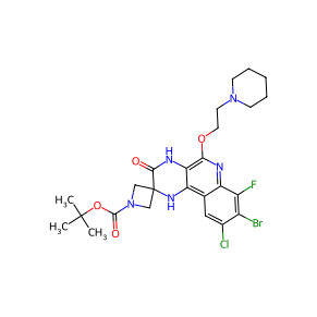 CC(C)(C)OC(=O)N1CC2(C1)Nc1c(c(OCCN3CCCCC3)nc3c(F)c(Br)c(Cl)cc13)NC2=O